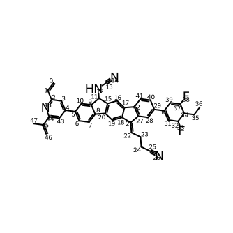 C=Cc1cc(-c2ccc3c(c2)C(NC#N)c2cc4c(cc2-3)/C(=C/CCC#N)c2cc(C3=CC(F)C(CC)C(F)=C3)ccc2-4)cc(C(=C)C)n1